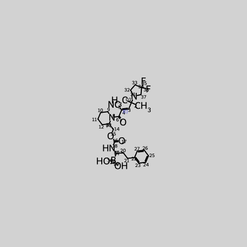 CC(C)(/C=C(\C#N)C(=O)N1CCCC[C@@H]1COC(=O)N[C@@H](CCc1ccccc1)B(O)O)N1CCC(F)(F)C1